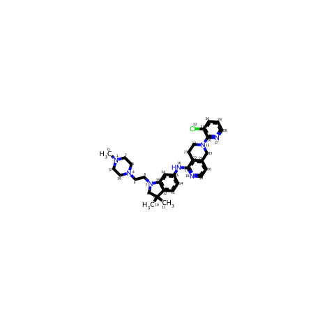 CN1CCN(CCN2CC(C)(C)c3ccc(Nc4nccc5c4CCN(c4ncccc4Cl)C5)cc32)CC1